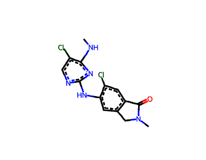 CNc1nc(Nc2cc3c(cc2Cl)C(=O)N(C)C3)ncc1Cl